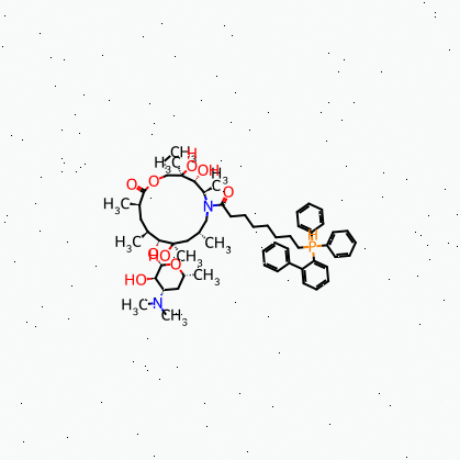 CC[C@H]1OC(=O)[C@H](C)C[C@H](C)[C@@H](O[C@@H]2O[C@H](C)C[C@H](N(C)C)[C@H]2O)[C@](C)(O)C[C@@H](C)CN(C(=O)CCCCCCC[PH](c2ccccc2)(c2ccccc2)c2ccccc2-c2ccccc2)[C@H](C)[C@@H](O)[C@]1(C)O